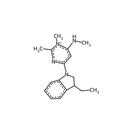 CCC1CN(c2cc(NC)[n+](C)c(C)n2)c2ccccc21